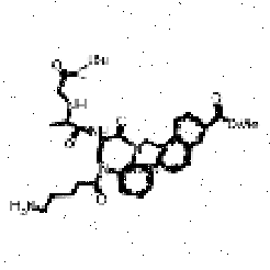 COC(=O)c1ccc2c(CN3C(=O)C(NC(=O)C(C)NCC(=O)OC(C)(C)C)CN(C(=O)CCCCN)c4ccccc43)c(OC)ccc2c1